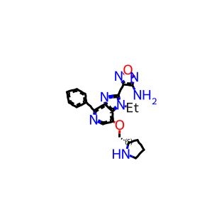 CCn1c(-c2nonc2N)nc2c(-c3ccccc3)ncc(OC[C@@H]3CCCN3)c21